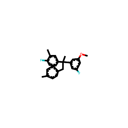 COc1cc(F)cc(C(C)(Cc2ccc(C)cc2)c2ccc(F)c(C)c2)c1